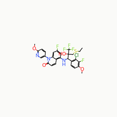 CCSCC(O)(C(Nc1cc(F)cc2c1ccc(=O)n2-c1ccc(OC)nc1)c1ccc(OC)c(F)c1Cl)C(F)(F)F